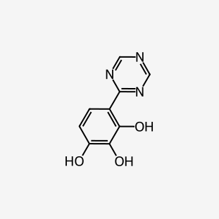 Oc1ccc(-c2ncncn2)c(O)c1O